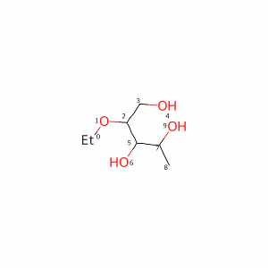 CCOC(CO)C(O)C(C)O